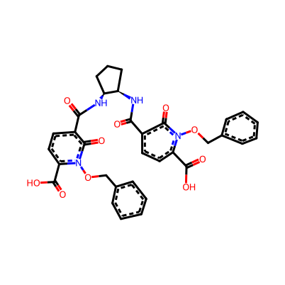 O=C(N[C@H]1CCC[C@H]1NC(=O)c1ccc(C(=O)O)n(OCc2ccccc2)c1=O)c1ccc(C(=O)O)n(OCc2ccccc2)c1=O